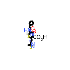 Cc1snnc1/C=C/C1=C(C(=O)O)N2C(=O)C(NC(=O)Cc3ccccc3)[C@H]2SC1